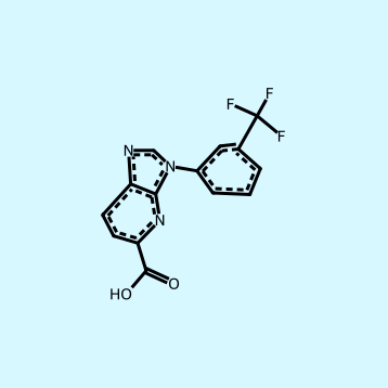 O=C(O)c1ccc2ncn(-c3cccc(C(F)(F)F)c3)c2n1